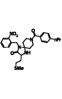 CCCc1ccc(C(=O)N2CCC3(CC2)NC(CCSC)C(=O)N3Cc2ccccc2[N+](=O)[O-])cc1